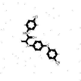 CC(Oc1ccc(Oc2ccc(C#N)cc2)cc1)C(=O)Nc1ccc(Cl)cc1